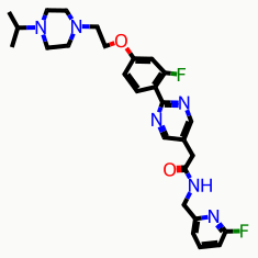 CC(C)N1CCN(CCOc2ccc(-c3ncc(CC(=O)NCc4cccc(F)n4)cn3)c(F)c2)CC1